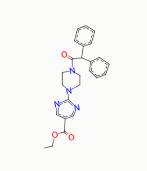 CCOC(=O)c1cnc(N2CCN(C(=O)C(c3ccccc3)c3ccccc3)CC2)nc1